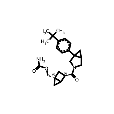 CC(C)(C)c1ccc(C23CC2CN(C(=O)[C@@H]2C[C@]4(COC(N)=O)CC24)C3)cc1